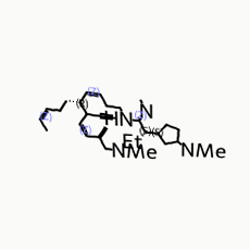 C#CC(/C=C\C(=C)CNC)[C@@H](/C=C\CCN/C(=N\C)[C@@H](CC)[C@H]1CCC(NC)C1)CC/C=C\C